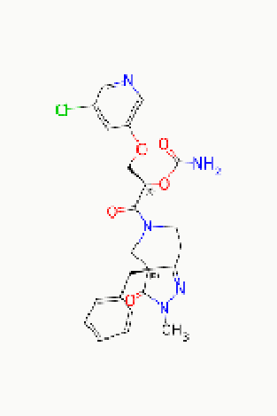 CN1N=C2CCN(C(=O)[C@@H](COc3cncc(Cl)c3)OC(N)=O)C[C@@]2(Cc2ccccc2)C1=O